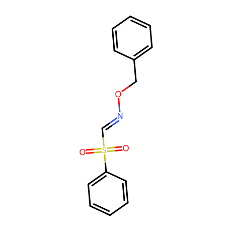 O=S(=O)(C=NOCc1ccccc1)c1ccccc1